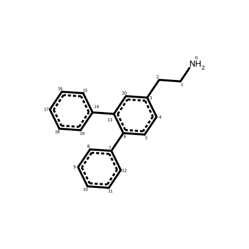 NCCc1ccc(-c2ccccc2)c(-c2ccccc2)c1